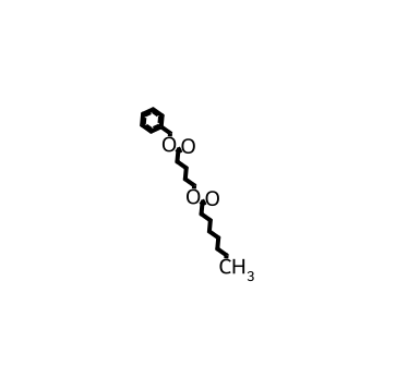 CCCCCCCC(=O)OCCCCC(=O)OCc1ccccc1